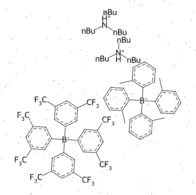 CCCC[NH+](CCCC)CCCC.CCCC[NH+](CCCC)CCCC.Cc1ccccc1[B-](c1ccccc1C)(c1ccccc1C)c1ccccc1C.FC(F)(F)c1cc([B-](c2cc(C(F)(F)F)cc(C(F)(F)F)c2)(c2cc(C(F)(F)F)cc(C(F)(F)F)c2)c2cc(C(F)(F)F)cc(C(F)(F)F)c2)cc(C(F)(F)F)c1